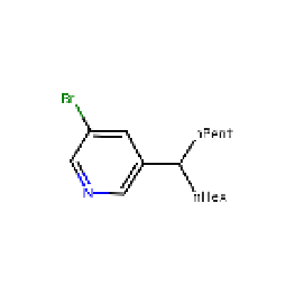 CCCCCCC(CCCCC)c1cncc(Br)c1